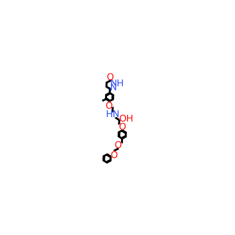 Cc1cc(C2=NNC(=O)CC2)ccc1OCCNCC(O)COc1ccc(COCCOc2ccccc2)cc1